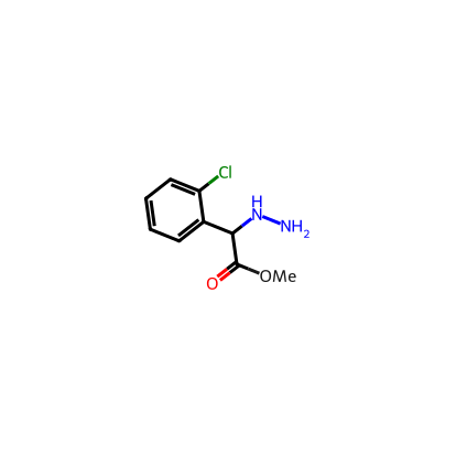 COC(=O)C(NN)c1ccccc1Cl